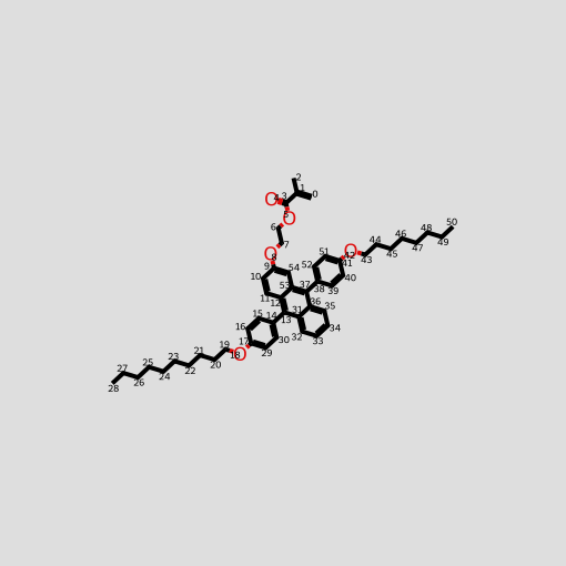 C=C(C)C(=O)OCCOc1ccc2c(-c3ccc(OCCCCCCCCCC)cc3)c3ccccc3c(-c3ccc(OCCCCCCCC)cc3)c2c1